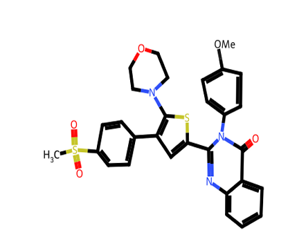 COc1ccc(-n2c(-c3cc(-c4ccc(S(C)(=O)=O)cc4)c(N4CCOCC4)s3)nc3ccccc3c2=O)cc1